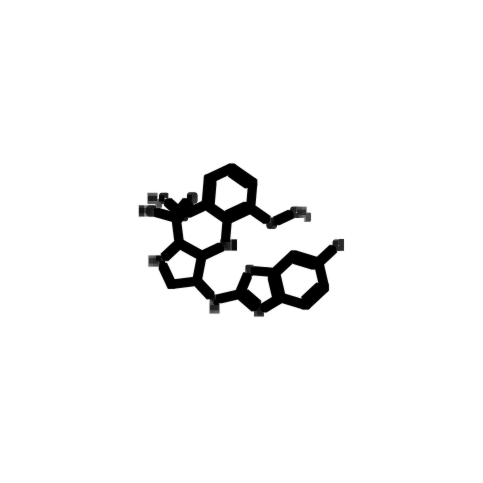 COc1cccc(OC)c1NC1C(Nc2nc3ccc(Cl)cc3s2)CNC1C(=O)O